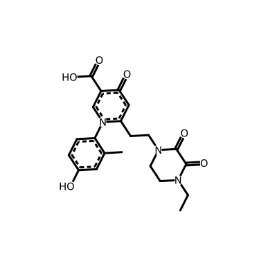 CCN1CCN(CCc2cc(=O)c(C(=O)O)cn2-c2ccc(O)cc2C)C(=O)C1=O